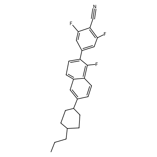 CCCC1CCC(c2ccc3c(F)c(-c4cc(F)c(C#N)c(F)c4)ccc3c2)CC1